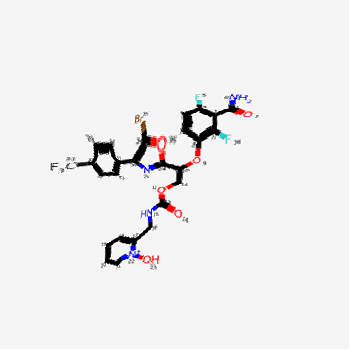 NC(=O)c1c(F)ccc(OC(COC(=O)NCc2cccc[n+]2O)c2nc(-c3ccc(C(F)(F)F)cc3)c(Br)o2)c1F